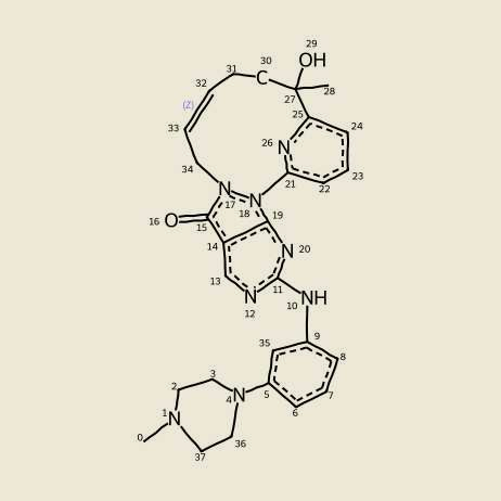 CN1CCN(c2cccc(Nc3ncc4c(=O)n5n(c4n3)-c3cccc(n3)C(C)(O)CC/C=C\C5)c2)CC1